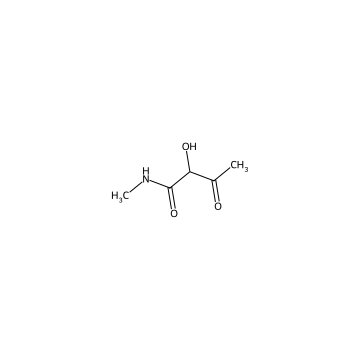 CNC(=O)C(O)C(C)=O